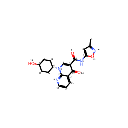 Cc1cc(NC(=O)c2cn([C@H]3CC[C@H](O)CC3)c3ncccc3c2=O)on1